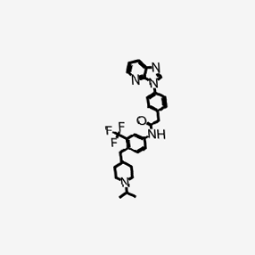 CC(C)N1CCC(Cc2ccc(NC(=O)Cc3ccc(-n4cnc5cccnc54)cc3)cc2C(F)(F)F)CC1